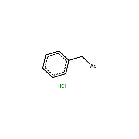 CC(=O)Cc1ccccc1.Cl